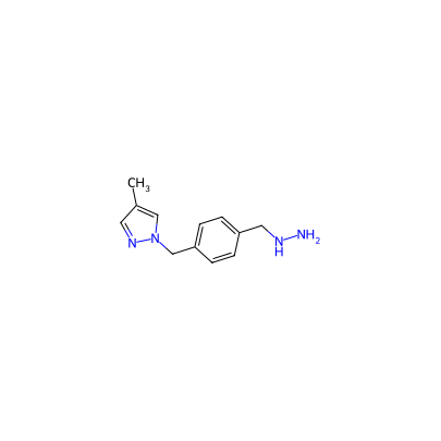 Cc1cnn(Cc2ccc(CNN)cc2)c1